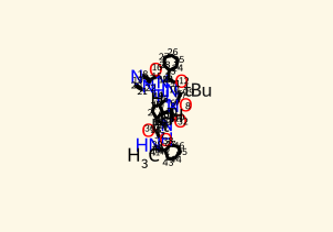 CCC12CC[C@H]3CN(C(=O)[C@@H](NC(=O)[C@@H](NC(=O)c4cnccn4)C4CCCCC4)C(C)(C)C)[C@H](C(=O)N[C@@H]1C(=O)C(=O)N[C@@H](C)C1CCCCC1)[C@H]32